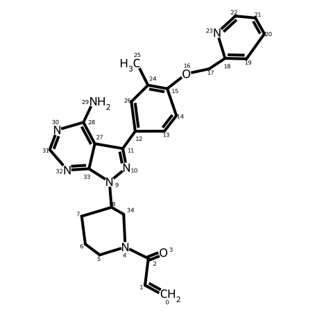 C=CC(=O)N1CCCC(n2nc(-c3ccc(OCc4ccccn4)c(C)c3)c3c(N)ncnc32)C1